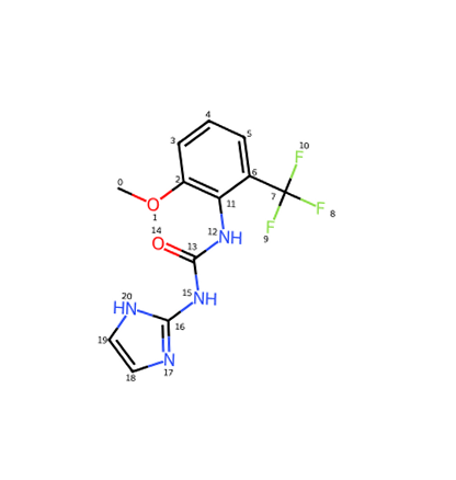 COc1cccc(C(F)(F)F)c1NC(=O)Nc1ncc[nH]1